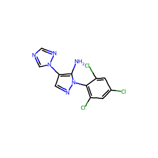 Nc1c(-n2cncn2)cnn1-c1c(Cl)cc(Cl)cc1Cl